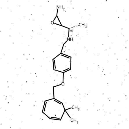 C[C@H](NCc1ccc(OCC2=CC(C)(C)C=CC=C2)cc1)C1OC1N